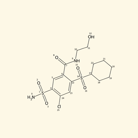 NS(=O)(=O)c1cc(C(=O)NCCO)c(S(=O)(=O)C2CCCCC2)cc1Cl